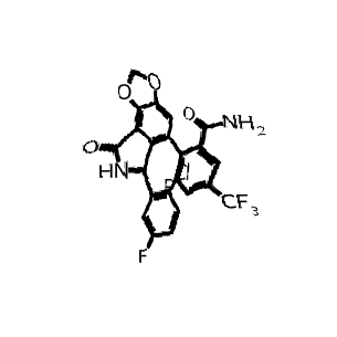 NC(=O)c1cc(C(F)(F)F)cc(F)c1-c1cc2c(c3c1C(c1cc(F)ccc1Cl)NC3=O)OCO2